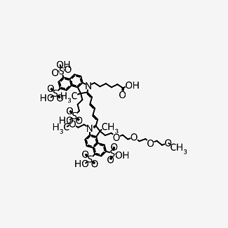 COCCOCCOCCOCCC1(C)C(/C=C/C=C/C=C2/N(CCCCCC(=O)O)c3ccc4c(S(=O)(=O)O)cc(S(=O)(=O)O)cc4c3C2(C)CCCS(=O)(=O)O)=[N+](CCOC)c2ccc3c(S(=O)(=O)O)cc(S(=O)(=O)O)cc3c21